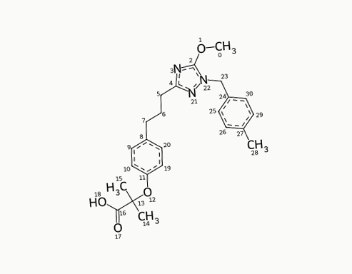 COc1nc(CCCc2ccc(OC(C)(C)C(=O)O)cc2)nn1Cc1ccc(C)cc1